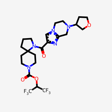 O=C(OC(C(F)(F)F)C(F)(F)F)N1CCC2(CCCN2C(=O)c2cn3c(n2)CN(C2CCOC2)CC3)CC1